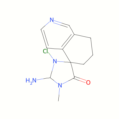 CN1C(=O)C2(CCCc3cnccc32)N(Cl)C1N